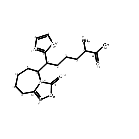 NC(CCCC(c1ncc[nH]1)C1CCCCc2noc(=O)n21)C(=O)O